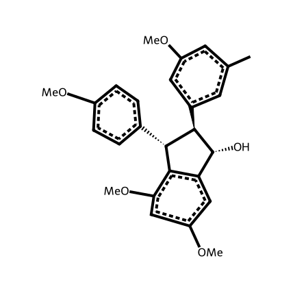 COc1ccc([C@H]2c3c(OC)cc(OC)cc3[C@@H](O)[C@@H]2c2cc(C)cc(OC)c2)cc1